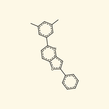 Cc1cc(C)cc(-c2ccc3oc(-c4ccccc4)cc3n2)c1